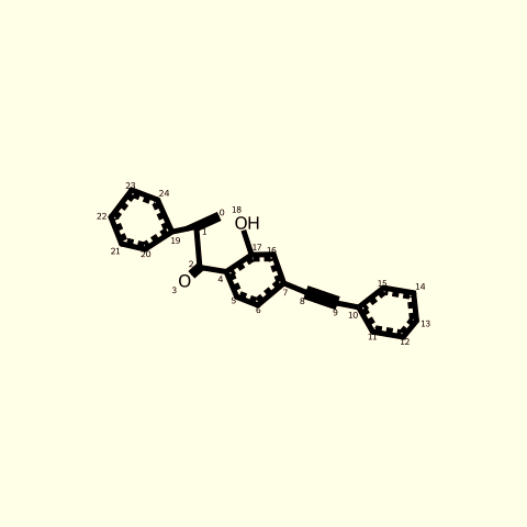 C=C(C(=O)c1ccc(C#Cc2ccccc2)cc1O)c1ccccc1